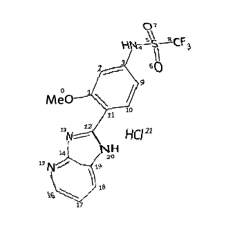 COc1cc(NS(=O)(=O)C(F)(F)F)ccc1-c1nc2ncccc2[nH]1.Cl